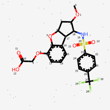 COC1CC2Oc3c(OCC(=O)O)cccc3C2C1NS(=O)(=O)c1ccc(C(F)(F)F)cc1